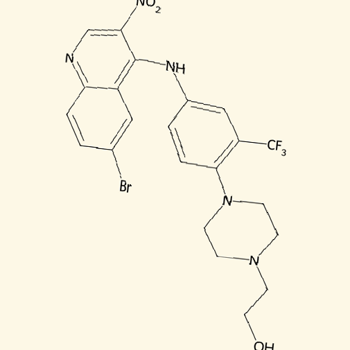 O=[N+]([O-])c1cnc2ccc(Br)cc2c1Nc1ccc(N2CCN(CCO)CC2)c(C(F)(F)F)c1